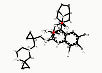 CC(C)(C)OC(=O)N1C2CCC1CN(c1nc(OCC3(CN4CCOC5(CC5)C4)CC3)nc3c(F)c(Br)c(F)cc13)C2